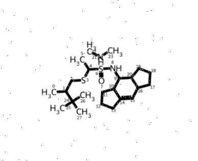 CC(CSC(C)[SH](=O)(NC1C2CCCC2=CC2CCCC21)N(C)C)C(C)(C)C